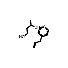 C=CCc1ccncc1.CC(O)CCO